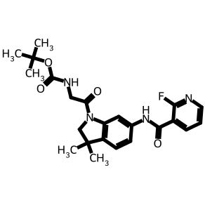 CC(C)(C)OC(=O)NCC(=O)N1CC(C)(C)c2ccc(NC(=O)c3cccnc3F)cc21